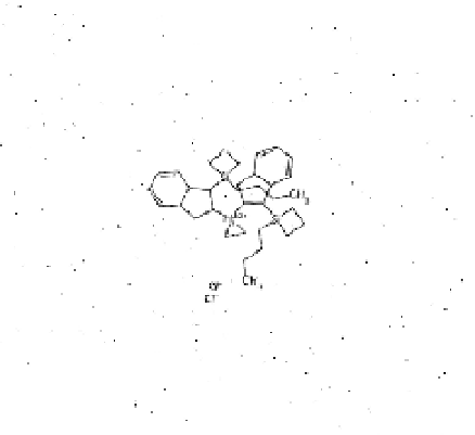 CCCC[Si]1(C2C3C=CC=CC3C[CH]2[Hf+2]2([CH]3CC4C=CC=CC4C3[Si]3(CCCC)CCC3)[CH2][CH2]2)CCC1.[Cl-].[Cl-]